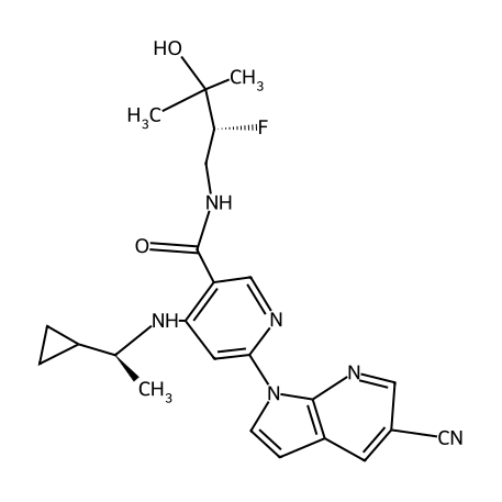 C[C@H](Nc1cc(-n2ccc3cc(C#N)cnc32)ncc1C(=O)NC[C@@H](F)C(C)(C)O)C1CC1